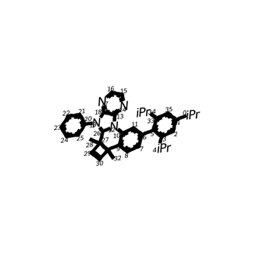 CC(C)c1cc(C(C)C)c(-c2ccc3c(c2)N2c4nccnc4N(c4ccccc4)C2C2(C)C=CC32C)c(C(C)C)c1